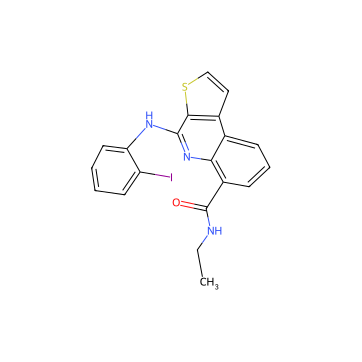 CCNC(=O)c1cccc2c1nc(Nc1ccccc1I)c1sccc12